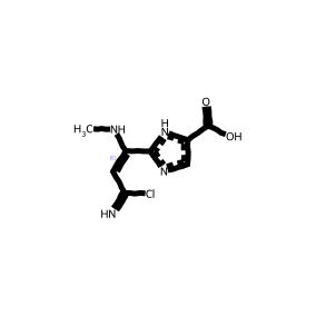 CN/C(=C/C(=N)Cl)c1ncc(C(=O)O)[nH]1